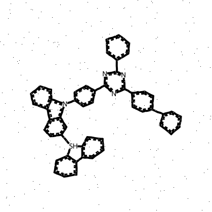 c1ccc(-c2ccc(-c3nc(-c4ccccc4)nc(-c4ccc(-n5c6ccccc6c6ccc([SH]7c8ccccc8-c8ccccc87)cc65)cc4)n3)cc2)cc1